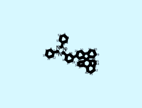 c1ccc(-c2nc(-c3ccccc3)nc(-c3cccc(-c4ccc5c(c4)C4(c6ccccc6-5)c5ccccc5-c5cccc6cccc4c56)c3)n2)cc1